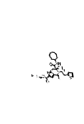 CCOC(=O)c1cc2n(n1)CC(C)(C(=O)NC1CCCCCC1)N(CCc1cccs1)C2=O